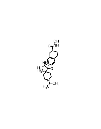 CC(C)N1CCC(C)(C(=O)C(C)(N)c2ccc3c(c2)CC(C(=O)NO)CC3)CC1